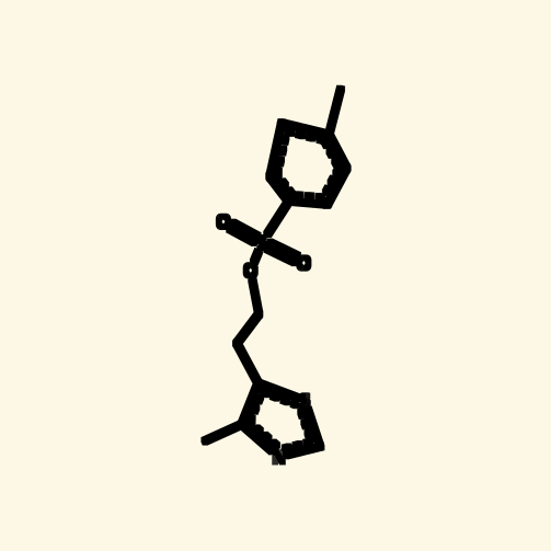 Cc1ccc(S(=O)(=O)OCCc2scnc2C)cc1